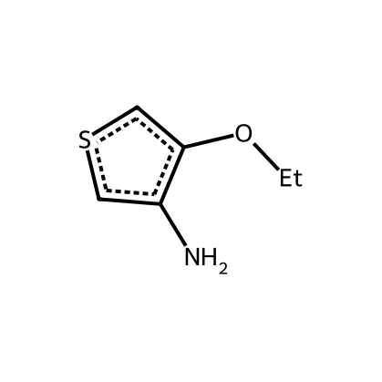 CCOc1cscc1N